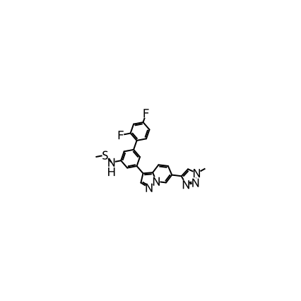 CSNc1cc(-c2ccc(F)cc2F)cc(-c2cnn3cc(-c4cn(C)nn4)ccc23)c1